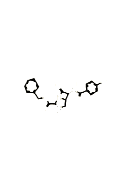 CC(=O)N1CC2[C@H](NC(=O)c3ccc(Br)cc3)C(=O)N2C1C(=O)OCc1ccccc1